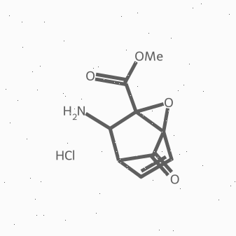 COC(=O)C12OC13C=CC(C3=O)C2N.Cl